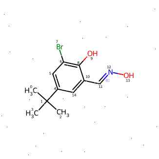 CC(C)(C)c1cc(Br)c(O)c(/C=N/O)c1